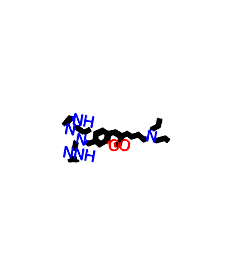 CCCN(CCC)CCCCc1cc2ccc(CN(Cc3ncc[nH]3)C(C)c3ncc[nH]3)cc2oc1=O